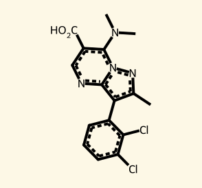 Cc1nn2c(N(C)C)c(C(=O)O)cnc2c1-c1cccc(Cl)c1Cl